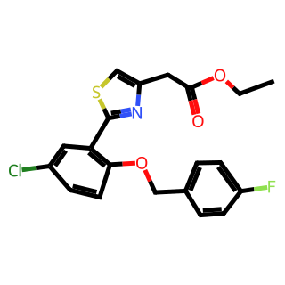 CCOC(=O)Cc1csc(-c2cc(Cl)ccc2OCc2ccc(F)cc2)n1